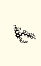 COCOc1ccc(C=C2SC(=O)NC2=O)cc1CC=C(C)CCC=C(C)C